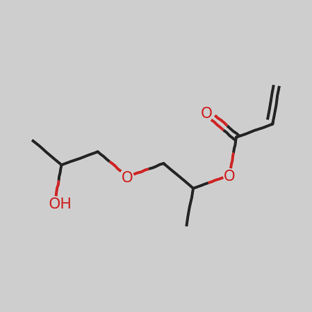 C=CC(=O)OC(C)COCC(C)O